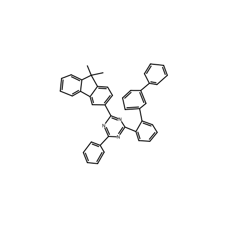 CC1(C)c2ccccc2-c2cc(-c3nc(-c4ccccc4)nc(-c4ccccc4-c4cccc(-c5ccccc5)c4)n3)ccc21